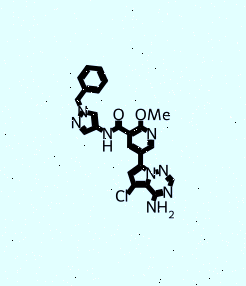 COc1ncc(-c2cc(Cl)c3c(N)ncnn23)cc1C(=O)Nc1cnn(Cc2ccccc2)c1